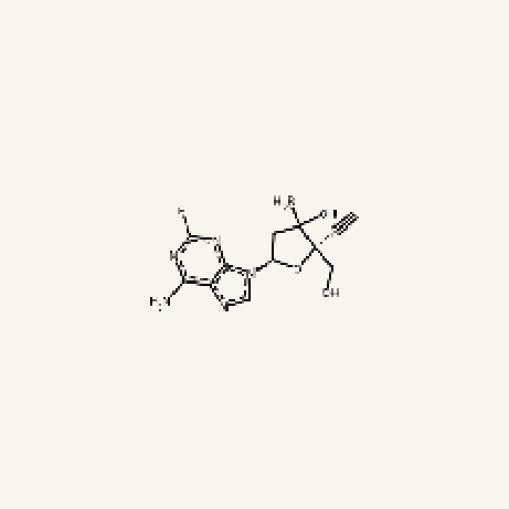 B[C@]1(O)C[C@H](n2cnc3c(N)nc(F)nc32)O[C@]1(C#C)CO